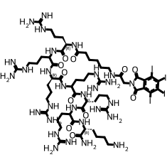 N=C(N)NCCCC(NC(=O)[C@@H](CCCNC(=N)N)NC(=O)CCCCCNC(=O)CN1C(=O)c2c(I)c(I)c(I)c(I)c2C1=O)C(=O)N[C@H](CCCNC(=N)N)C(=O)NC(CCCNC(=N)N)C(=O)N[C@H](CCCNC(=N)N)C(=O)NC(CCCNC(=N)N)C(=O)N[C@H](CCCCN)C(N)=O